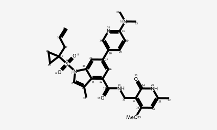 C=CCC1(S(=O)(=O)n2cc(C)c3c(C(=O)NCc4c(OC)cc(C)[nH]c4=O)cc(-c4ccc(N(C)C)nc4)cc32)CC1